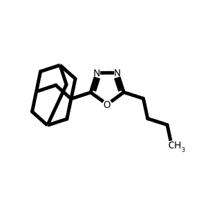 CCCCc1nnc(C23CC4CC(CC(C4)C2)C3)o1